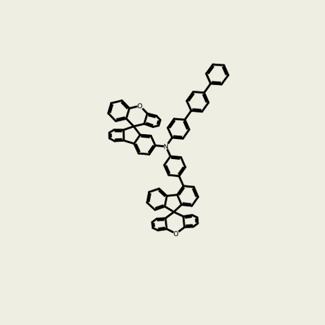 c1ccc(-c2ccc(-c3ccc(N(c4ccc(-c5cccc6c5-c5ccccc5C65c6ccccc6Oc6ccccc65)cc4)c4ccc5c(c4)C4(c6ccccc6Oc6ccccc64)c4ccccc4-5)cc3)cc2)cc1